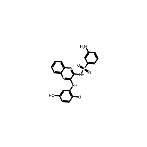 Nc1cccc(S(=O)(=O)Nc2nc3ccccc3nc2Nc2cc(O)ccc2Cl)c1